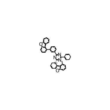 Cc1cccc2oc3c(c12)[C@@H](c1nc(C2=CCCC=C2)nc(-c2cccc(-c4cccc5oc6ccccc6c45)c2)n1)CC=C3